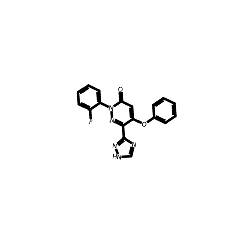 O=c1cc(Oc2ccccc2)c(-c2nc[nH]n2)nn1-c1ccccc1F